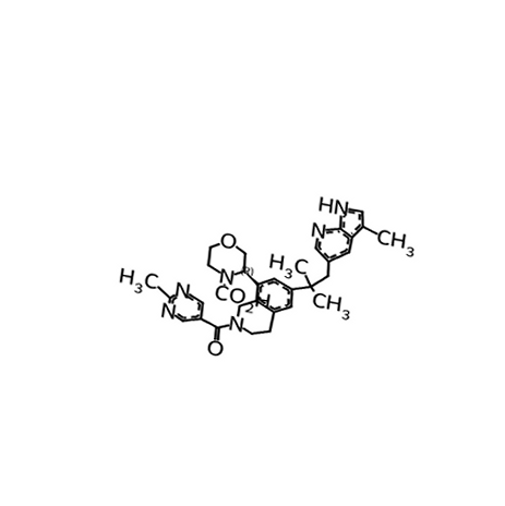 Cc1ncc(C(=O)N2CCc3cc(C(C)(C)Cc4cnc5[nH]cc(C)c5c4)cc([C@@H]4COCCN4C(=O)O)c3C2)cn1